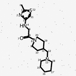 Cc1nc(NCC(=O)N2CCC(CN3CCCCC3)CC2)cs1